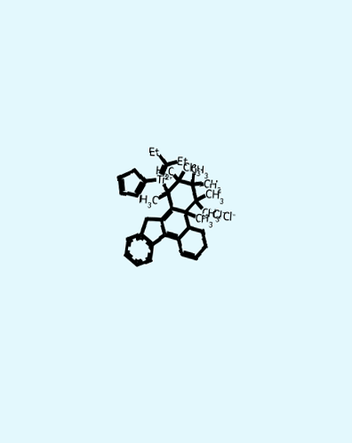 CC[C](CC)=[Ti+2]([C]1=CC=CC1)[C]1(C)C2=C3Cc4ccccc4C3=C3C=CCCC3C2(C)C(C)(C)C(C)(C)C1(C)C.[Cl-].[Cl-]